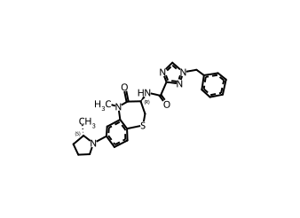 C[C@H]1CCCN1c1ccc2c(c1)N(C)C(=O)[C@@H](NC(=O)c1ncn(Cc3ccccc3)n1)CS2